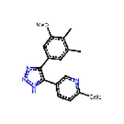 COc1ccc(-c2[nH]nnc2-c2cc(C)c(C)c(OC)c2)cn1